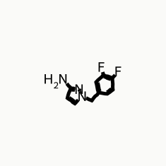 Nc1ccn(Cc2ccc(F)c(F)c2)n1